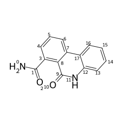 NC(=O)c1cccc2c1c(=O)[nH]c1ccccc12